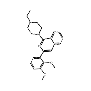 CCN1CCN(c2nc(-c3cccc(OC)c3OC)cc3ccccc23)CC1